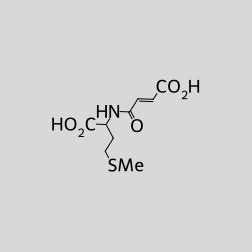 CSCCC(NC(=O)/C=C/C(=O)O)C(=O)O